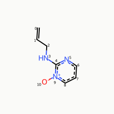 C=CCNc1nccc[n+]1[O-]